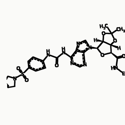 CCNC(=O)[C@H]1O[C@@H](n2cnc3c(NC(=O)Nc4ccc(S(=O)(=O)N5CC=CC5)cc4)ncnc32)[C@@H]2OC(C)(C)O[C@@H]21